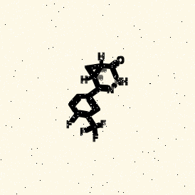 O=C1NN=C(c2ccc(F)c(C(F)(F)F)c2)[C@@H]2C[C@H]12